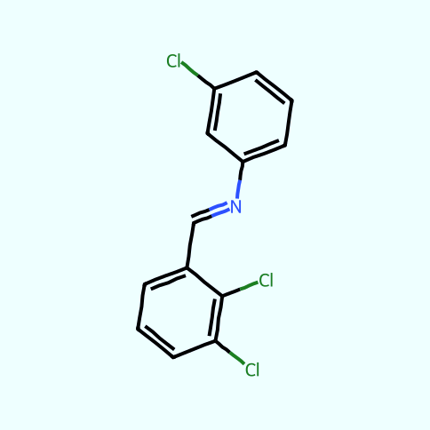 Clc1cccc(/N=C/c2cccc(Cl)c2Cl)c1